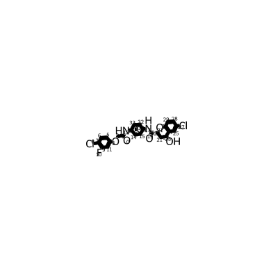 O=C(COc1ccc(Cl)c(F)c1)NC12CCC(NC(=O)[C@H]3C[C@@H](O)c4cc(Cl)ccc4O3)(CC1)CC2